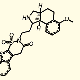 COc1cccc2c1CC[C@H]1CNC(CCN3C(=O)Cc4c(sc5ccccc45)S3(=O)=O)[C@@H]21